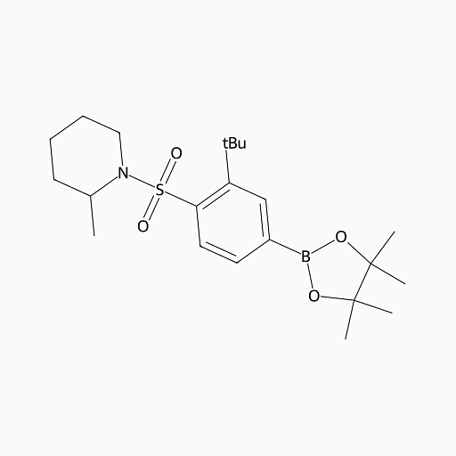 CC1CCCCN1S(=O)(=O)c1ccc(B2OC(C)(C)C(C)(C)O2)cc1C(C)(C)C